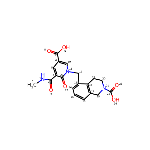 CNC(=O)c1cc(C(=O)O)cn(Cc2cccc3c2CCN(C(=O)O)C3)c1=O